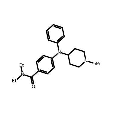 CCCN1CCC(N(c2ccccc2)c2ccc(C(=O)N(CC)CC)cc2)CC1